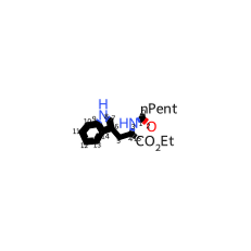 CCCCCC(=O)NC(Cc1c[nH]c2ccccc12)C(=O)OCC